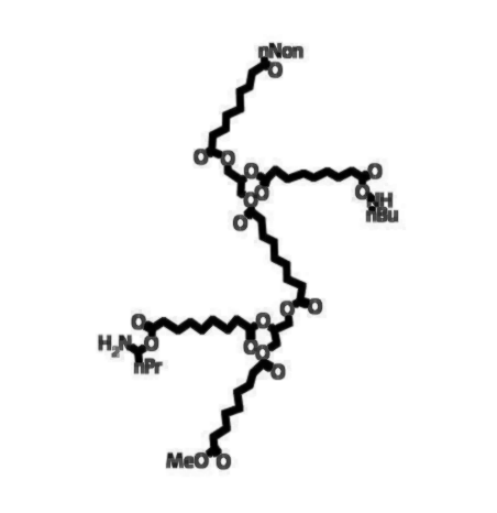 CCCCCCCCCC(=O)CCCCCCCC(=O)OCC(COC(=O)CCCCCCCC(=O)OCC(COC(=O)CCCCCCCC(=O)OC)OC(=O)CCCCCCCC(=O)OC(N)CCC)OC(=O)CCCCCCCC(=O)ONCCCC